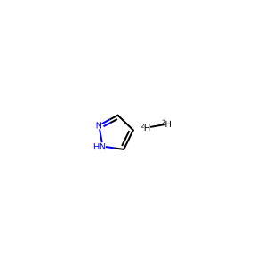 [2H][2H].c1cn[nH]c1